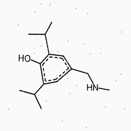 CNCc1cc(C(C)C)c(O)c(C(C)C)c1